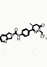 C[C@H]1CC(=O)N(CC(F)(F)F)N=C1c1ccc(NC(=O)N2Cc3cccnc3C2)cc1